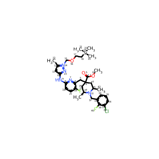 COC(=O)C1(Cc2nc(Nc3cc(C)n(COCC[Si](C)(C)C)n3)ccc2F)CC(C)N(Cc2cccc(Cl)c2F)C(C)C1